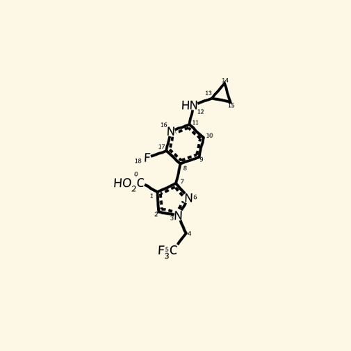 O=C(O)c1cn(CC(F)(F)F)nc1-c1ccc(NC2CC2)nc1F